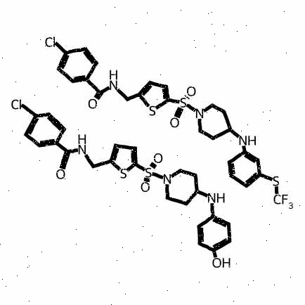 O=C(NCc1ccc(S(=O)(=O)N2CCC(Nc3ccc(O)cc3)CC2)s1)c1ccc(Cl)cc1.O=C(NCc1ccc(S(=O)(=O)N2CCC(Nc3cccc(SC(F)(F)F)c3)CC2)s1)c1ccc(Cl)cc1